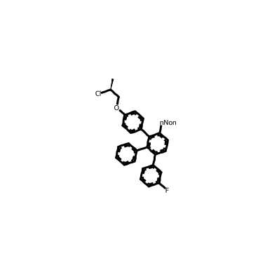 CCCCCCCCCc1ccc(-c2cccc(F)c2)c(-c2ccccc2)c1-c1ccc(OC[C@H](C)Cl)cc1